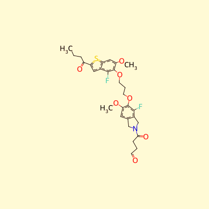 CCCC(=O)c1cc2c(F)c(OCCCOc3c(OC)cc4c(c3F)CN(C(=O)CCC=O)C4)c(OC)cc2s1